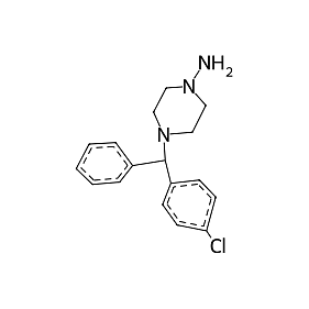 NN1CCN(C(c2ccccc2)c2ccc(Cl)cc2)CC1